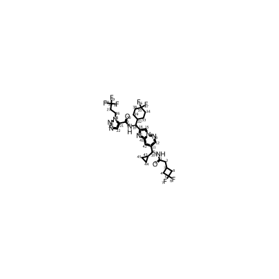 O=C(CC1CC(F)(F)C1)N[C@@H](c1cnn2cc([C@@H](NC(=O)c3cnnn3CCC(F)(F)F)C3CCC(F)(F)CC3)nc2c1)C1CC1